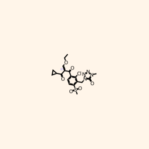 CCO/C=C(\C(=O)c1ccc(S(C)(=O)=O)c(Cn2nnn(C)c2=O)c1Cl)C(=O)C1CC1